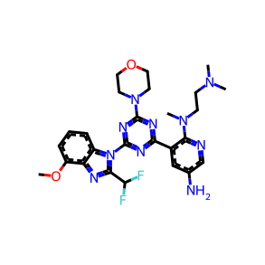 COc1cccc2c1nc(C(F)F)n2-c1nc(-c2cc(N)cnc2N(C)CCN(C)C)nc(N2CCOCC2)n1